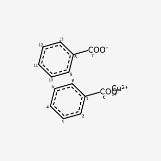 O=C([O-])c1ccccc1.O=C([O-])c1ccccc1.[Cu+2]